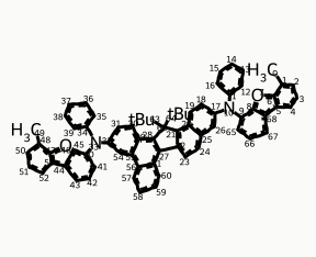 Cc1cccc2c1oc1c(N(c3ccccc3)c3ccc4c5c(ccc4c3)-c3c(c4ccc(N(c6ccccc6)c6cccc7c6oc6c(C)cccc67)cc4c4ccccc34)C5(C(C)(C)C)C(C)(C)C)cccc12